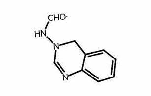 O=[C]NN1C=Nc2ccccc2C1